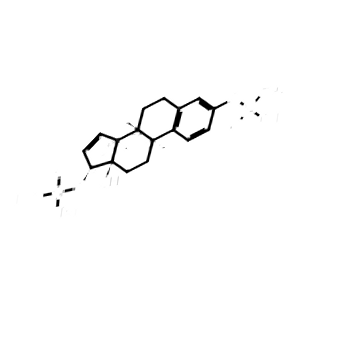 CC(C)(C)[Si](C)(C)Oc1ccc2c(c1)CC[C@@H]1[C@@H]2CC[C@]2(C)[C@@H](O[Si](C)(C)C(C)(C)C)C=C[C@@H]12